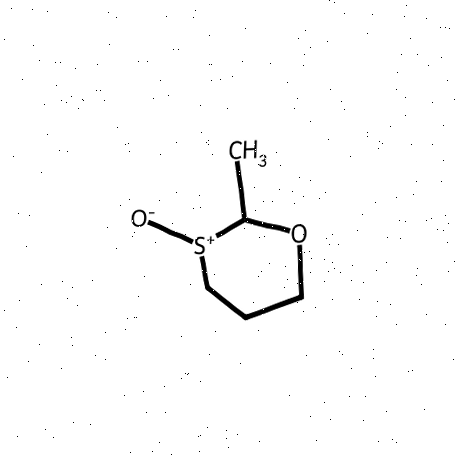 CC1OCCC[S+]1[O-]